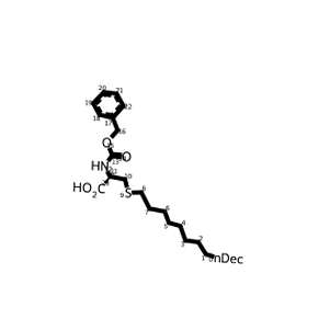 CCCCCCCCCCCCCCCCCCSC[C@H](NC(=O)OCc1ccccc1)C(=O)O